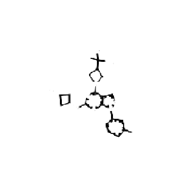 CC(C)(O)C1CN(c2nc(N[C@H]3C[C@@H](O)C3)nc3c2cnn3-c2cccc(C(F)(F)F)c2)C1